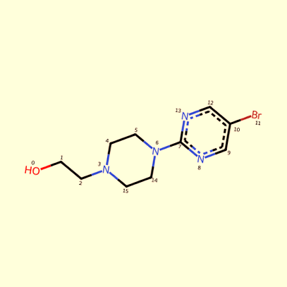 OCCN1CCN(c2ncc(Br)cn2)CC1